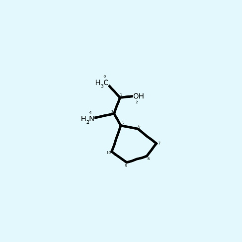 CC(O)C(N)C1CCCCC1